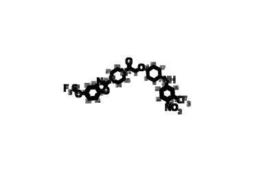 O=C(CO[C@H]1CC[C@H](Nc2ccc([N+](=O)[O-])c(C(F)(F)F)c2)CC1)N1CCN(c2nc3cc(OC(F)(F)F)ccc3o2)CC1